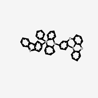 c1ccc([Si]2(c3ccc4sc5ccccc5c4c3)c3ccccc3N(c3ccc4c(c3)Oc3cccc5c3B4c3ccccc3O5)c3ccccc32)cc1